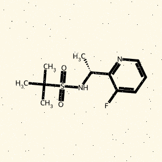 C[C@@H](NS(=O)(=O)C(C)(C)C)c1ncccc1F